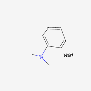 CN(C)c1c[c]ccc1.[NaH]